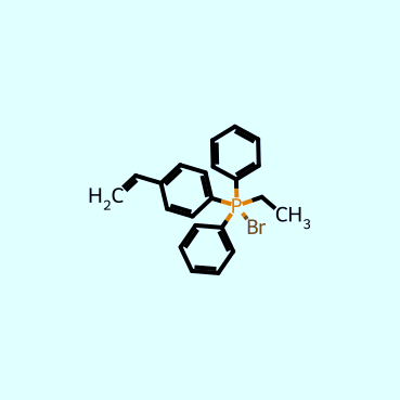 C=Cc1ccc(P(Br)(CC)(c2ccccc2)c2ccccc2)cc1